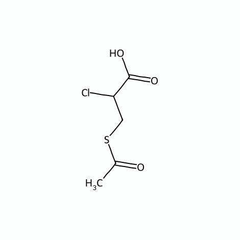 CC(=O)SCC(Cl)C(=O)O